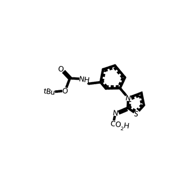 CC(C)(C)OC(=O)NCc1cccc(-n2ccsc2=NC(=O)O)c1